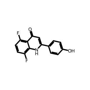 O=c1cc(-c2ccc(O)cc2)[nH]c2c(F)ccc(F)c12